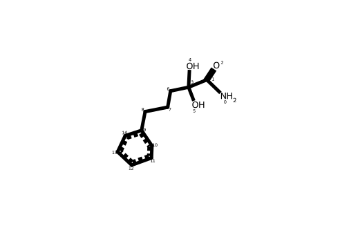 NC(=O)C(O)(O)CCCc1ccccc1